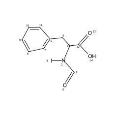 O=CN(I)C(Cc1ccccc1)C(=O)O